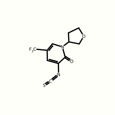 O=c1c(N=C=S)cc(C(F)(F)F)cn1C1CCOC1